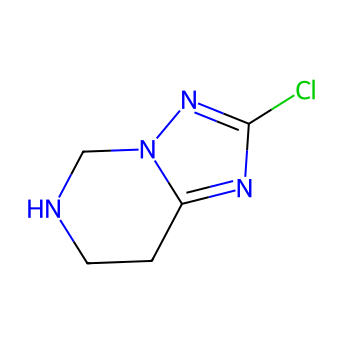 Clc1nc2n(n1)CNCC2